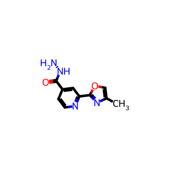 Cc1coc(-c2cc(C(=O)NN)ccn2)n1